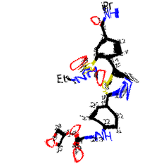 CCNS(=O)(=O)c1cc(C(=O)NC(C)C)ccc1-c1cnc(C2CCC(NC(=O)OC3COC3)CC2)s1